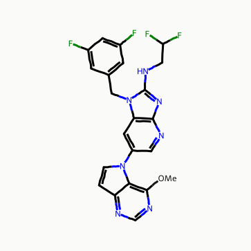 COc1ncnc2ccn(-c3cnc4nc(NCC(F)F)n(Cc5cc(F)cc(F)c5)c4c3)c12